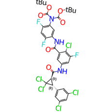 CC(C)(C)OC(=O)N(C(=O)OC(C)(C)C)c1cc(NC(=O)c2cc(NC(=O)[C@H]3[C@H](c4cc(Cl)cc(Cl)c4)C3(Cl)Cl)cc(F)c2Cl)c(F)cc1F